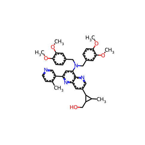 COc1ccc(CN(Cc2ccc(OC)c(OC)c2)c2cc(-c3cnccc3C)nc3cc(C4C(C)C4CO)cnc23)cc1OC